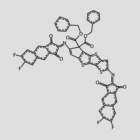 O=C(OCc1ccccc1)C1(C(=O)OCc2ccccc2)C(N=c2c(=O)c3cc4cc(F)c(F)cc4cc3c2=O)=Cc2sc3c(sc4cc(N=c5c(=O)c6cc7cc(F)c(F)cc7cc6c5=O)sc43)c21